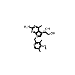 COc1c(C)cnc(Cn2cc([C@H](O)CO)c3c(C)nc(N)nc32)c1C